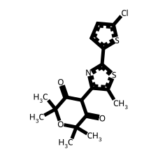 Cc1sc(-c2ccc(Cl)s2)nc1C1C(=O)C(C)(C)OC(C)(C)C1=O